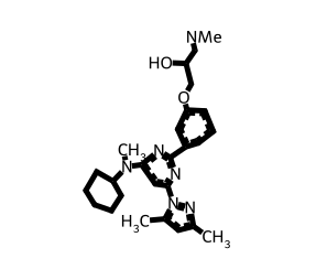 CNCC(O)COc1cccc(-c2nc(N(C)C3CCCCC3)cc(-n3nc(C)cc3C)n2)c1